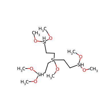 CO[SiH](CC[Si](CC[SiH](OC)OC)(CC[SiH](OC)OC)OC)OC